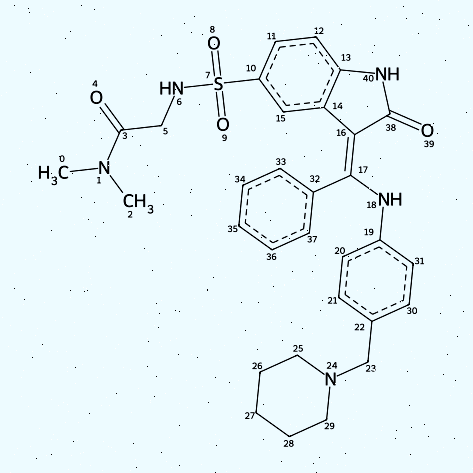 CN(C)C(=O)CNS(=O)(=O)c1ccc2c(c1)/C(=C(/Nc1ccc(CN3CCCCC3)cc1)c1ccccc1)C(=O)N2